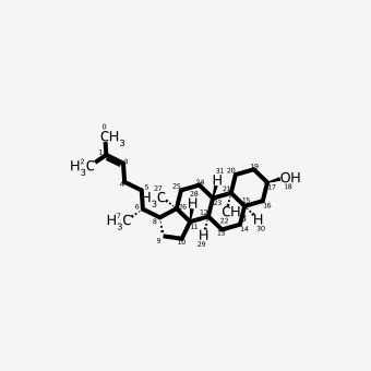 CC(C)=CCC[C@@H](C)[C@H]1CC[C@H]2[C@@H]3CC[C@@H]4C[C@H](O)CC[C@]4(C)[C@H]3CC[C@]12C